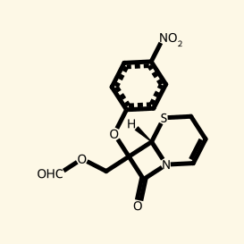 O=COCC1(Oc2ccc([N+](=O)[O-])cc2)C(=O)N2C=CCS[C@H]21